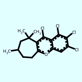 CC1CCc2[o+]c3cc(Cl)c(Cl)c(Cl)c3c(Cl)c2C(C)(C)C1